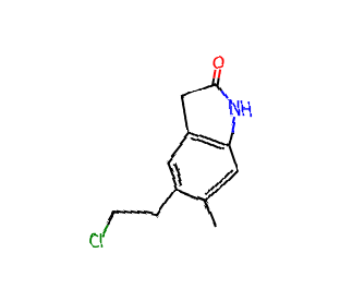 Cc1cc2c(cc1CCCl)CC(=O)N2